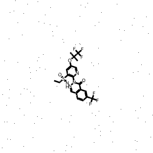 CCS(=N)(=O)c1cc(OC(C)(C)C(F)(F)F)cnc1-n1ncc2ccc(C(F)(F)F)cc2c1=O